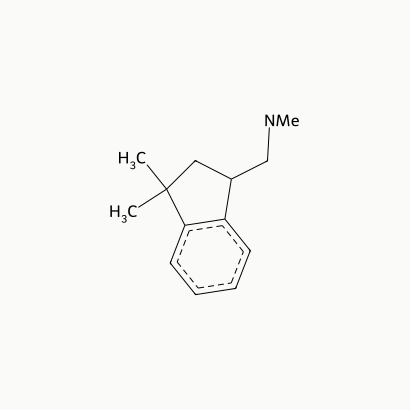 CNCC1CC(C)(C)c2ccccc21